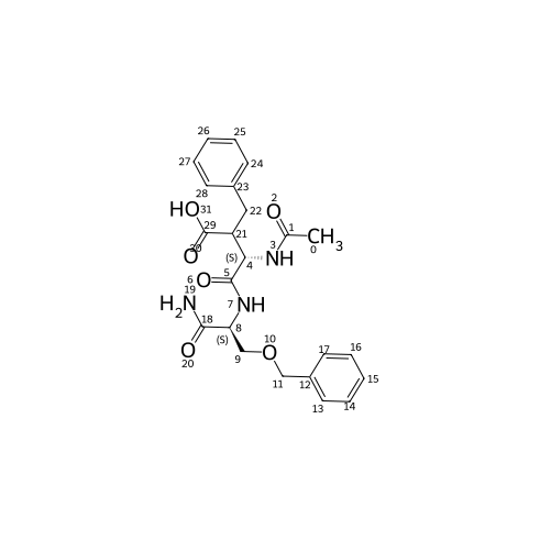 CC(=O)N[C@H](C(=O)N[C@@H](COCc1ccccc1)C(N)=O)C(Cc1ccccc1)C(=O)O